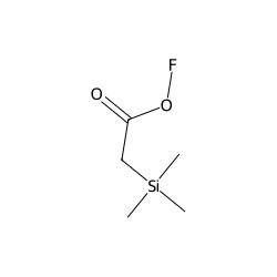 C[Si](C)(C)CC(=O)OF